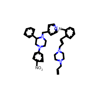 C=CCN1CCN(CC=Cc2ccccc2[N+](=O)[O-])CC1.O=[N+]([O-])c1ccc(N2CCN(Cc3ccncc3)C(c3ccccc3)C2)cc1